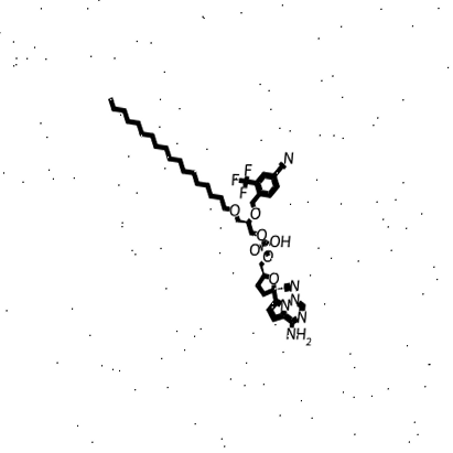 CCCCCCCCCCCCCCCCCCOC[C@H](COP(=O)(O)OC[C@@H]1CC[C@](C#N)(c2ccc3c(N)ncnn23)O1)OCc1ccc(C#N)cc1C(F)(F)F